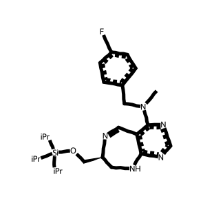 CC(C)[Si](OC[C@@H]1CNc2ncnc(N(C)Cc3ccc(F)cc3)c2C=N1)(C(C)C)C(C)C